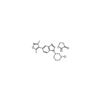 Cc1noc(C)c1-c1ccc2c(c1)nc([C@@H]1CCC(=O)N1)n2C1CCC[S+]([O-])C1